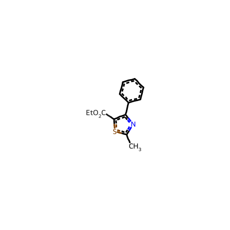 CCOC(=O)c1sc(C)nc1-c1ccccc1